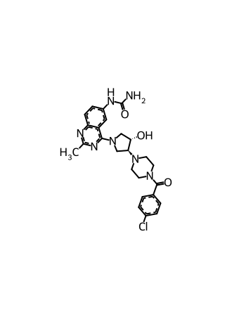 Cc1nc(N2C[C@H](O)[C@@H](N3CCN(C(=O)c4ccc(Cl)cc4)CC3)C2)c2cc(NC(N)=O)ccc2n1